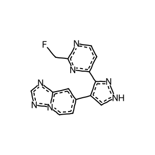 FCc1nccc(-c2n[nH]cc2-c2ccn3ncnc3c2)n1